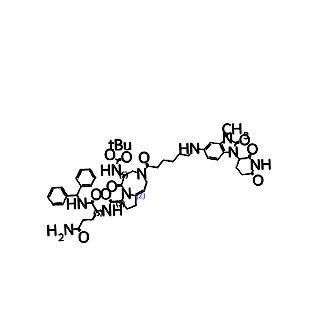 Cn1c(=O)n(C2CCC(=O)NC2=O)c2ccc(NCCCCCC(=O)N3C/C=C4/CC[C@@H](C(=O)N[C@@H](CCC(N)=O)C(=O)NC(c5ccccc5)c5ccccc5)N4C(=O)[C@@H](NC(=O)OC(C)(C)C)C3)cc21